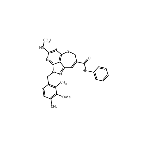 COc1c(C)cnc(Cn2nc3c4c(nc(NC(=O)O)nc42)SCC(C(=O)Nc2ccccc2)=C3)c1C